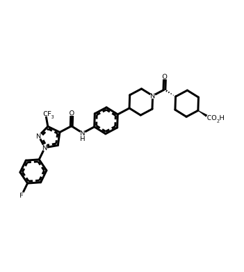 O=C(Nc1ccc(C2CCN(C(=O)[C@H]3CC[C@H](C(=O)O)CC3)CC2)cc1)c1cn(-c2ccc(F)cc2)nc1C(F)(F)F